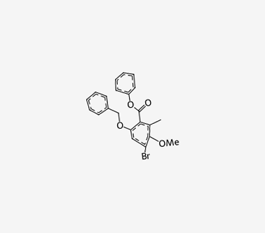 COc1c(Br)cc(OCc2ccccc2)c(C(=O)Oc2ccccc2)c1C